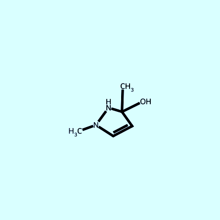 CN1C=CC(C)(O)N1